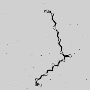 CCCCOCCOCCOCCOC(=O)OCCOCCOCCOCCCC